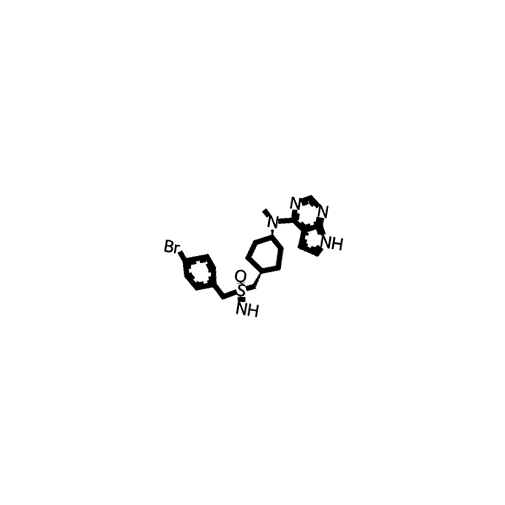 CN(c1ncnc2[nH]ccc12)[C@H]1CC[C@H](CS(=N)(=O)Cc2ccc(Br)cc2)CC1